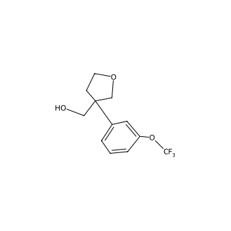 OCC1(c2cccc(OC(F)(F)F)c2)CCOC1